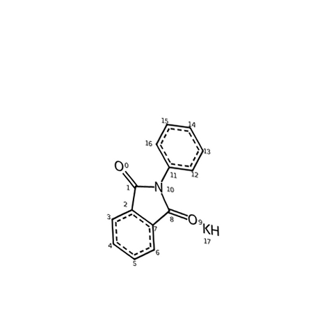 O=C1c2ccccc2C(=O)N1c1ccccc1.[KH]